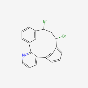 BrC1CC(Br)c2cccc(c2)-c2ncccc2-c2cccc1c2